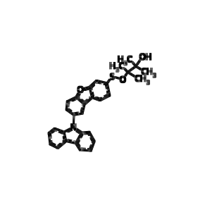 CC(C)(O)C(C)(C)OSc1ccc2c(c1)oc1ccc(-n3c4ccccc4c4ccccc43)cc12